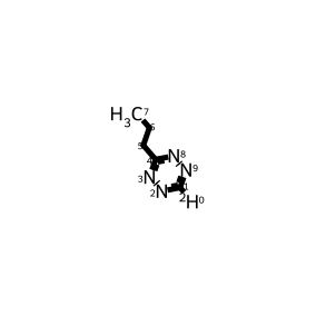 [2H]c1nnc(CCC)nn1